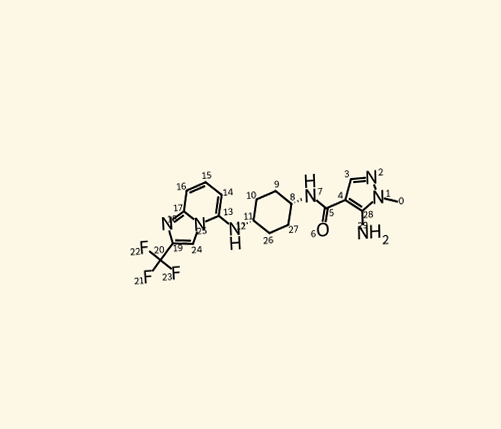 Cn1ncc(C(=O)N[C@H]2CC[C@@H](Nc3cccc4nc(C(F)(F)F)cn34)CC2)c1N